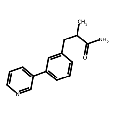 CC(Cc1cccc(-c2cccnc2)c1)C(N)=O